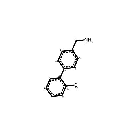 NCc1c[c]c(-c2ccccc2Cl)cc1